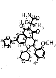 COc1ccc(F)cc1C(Cn1c(=O)n(C(C)(C)C(N)=O)c(=O)c2cc(-c3ncco3)ccc21)OC1CCOCC1